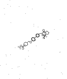 CC(C)OC(=O)N1CCC(COc2ccc(-c3ccc(C[C@H](N)C(=O)N4CCC[C@H]4C#N)cc3)cc2)CC1